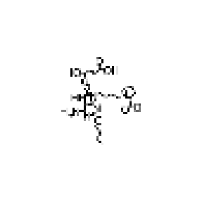 CCCCOc1nc(N)c2[nH]c(=O)n(CCCCN3CCC[C@H]3C(=O)OC)c2n1.O=C(O)/C=C/C(=O)O